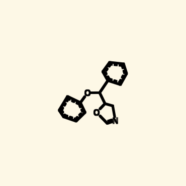 C1=NCC(C(Oc2ccccc2)c2ccccc2)O1